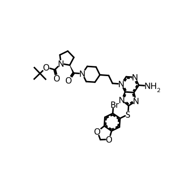 CC(C)(C)OC(=O)N1CCC[C@H]1C(=O)N1CCC(CCn2cnc(N)c3nc(Sc4cc5c(cc4Br)OCO5)nc2-3)CC1